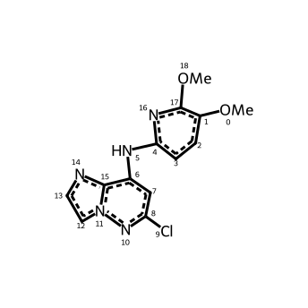 COc1ccc(Nc2cc(Cl)nn3ccnc23)nc1OC